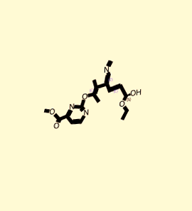 C=N/C=C(/C=C/[C@@H](O)OCC)C(\C)=C(/C)Oc1nccc(C(=O)OC)n1